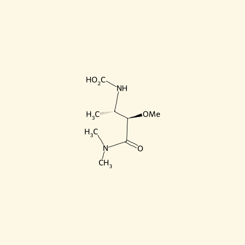 CO[C@@H](C(=O)N(C)C)[C@H](C)NC(=O)O